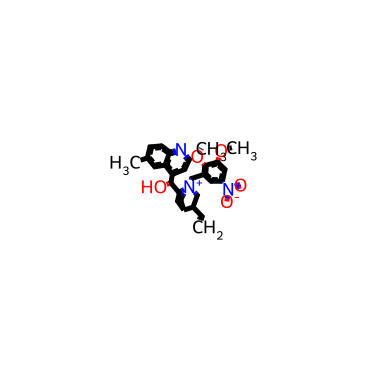 C=CC1C[N+]2(Cc3cc([N+](=O)[O-])cc(OC)c3OC)CCC1CC2C(O)c1ccnc2ccc(C)cc12